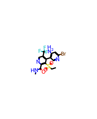 CCS(=O)(=O)c1c(C(=O)NC)ncc(C(F)(F)F)c1-c1cnc(Br)cc1N